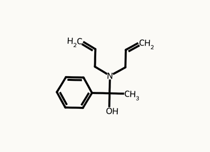 C=CCN(CC=C)C(C)(O)c1ccccc1